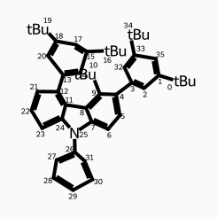 CC(C)(C)c1cc(-c2ccc3c(c2C(C)(C)C)c2c(-c4cc(C(C)(C)C)cc(C(C)(C)C)c4)cccc2n3-c2ccccc2)cc(C(C)(C)C)c1